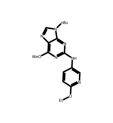 CCCCn1cnc2c(OC)nc(Nc3ccc(OCC)nc3)nc21